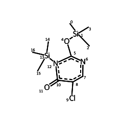 C[Si](C)(C)Oc1ncc(Cl)c(=O)n1[Si](C)(C)C